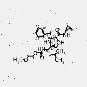 COCCOC(=O)N[C@@H](CC(C)C)C(=O)N[C@@H](Cc1ccccc1)C(O)C(=O)NC1CC1